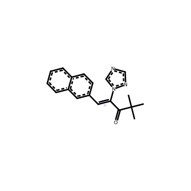 CC(C)(C)C(=O)/C(=C/c1ccc2ccccc2c1)n1cncn1